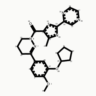 COc1ccc(C2=NN(C(=O)c3sc(-c4cnccn4)nc3C)CCC2)cc1OC1CCCC1